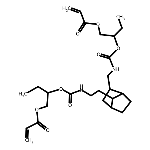 C=CC(=O)OCC(CC)OC(=O)NCCC1C2CCC1C(CNC(=O)OC(CC)COC(=O)C=C)C2